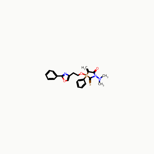 C=C1C(=O)N(N(C)C)C(=S)S1(OCCc1coc(-c2ccccc2)n1)c1ccccc1